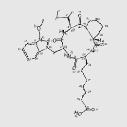 CCC(C)[C@@H]1NC(=O)[C@H](Cc2cn(OC)c3ccccc23)NC(=O)[C@H](CCCCCCC(=O)O)NC(=O)[C@H]2CCCCN2C1=O